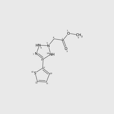 COC(=O)CN1NN=C(c2cc[c]s2)N1